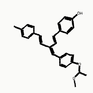 COC(C)Oc1ccc(C=C(C=Cc2ccc(C)cc2)C=Cc2ccc(O)cc2)cc1